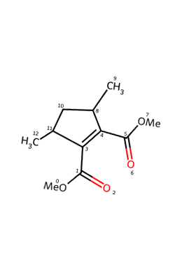 COC(=O)C1=C(C(=O)OC)C(C)CC1C